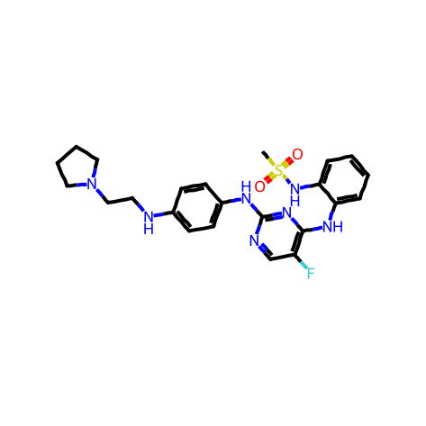 CS(=O)(=O)Nc1ccccc1Nc1nc(Nc2ccc(NCCN3CCCC3)cc2)ncc1F